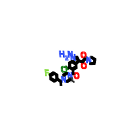 CC(c1ccc(F)cc1)N1CCN(C(=O)c2cc3c(C(=O)C(=O)N4CCCC4)cn(N)c3cc2Cl)[C@H](C)C1